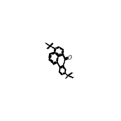 CC(C)(C)c1ccc2c(c1)C(=O)c1ccc(C(C)(C)C)c3cccc-2c13